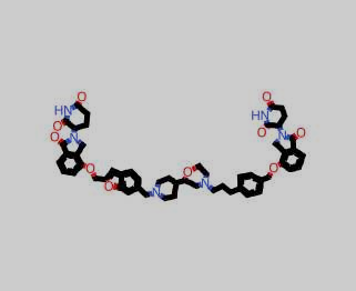 O=C1CCC(N2Cc3c(OCc4ccc(CCCN5CCOC(C6CCN(Cc7ccc8cc(COc9cccc%10c9CN(C9CCC(=O)NC9=O)C%10=O)oc8c7)CC6)C5)cc4)cccc3C2=O)C(=O)N1